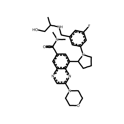 CC(CO)NCc1cc(F)cc(N2CCCC2c2cc(C(=O)N(C)C)cc3ncc(N4CCOCC4)nc23)c1